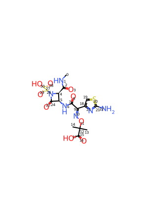 CNC(=O)[C@H]1[C@@H](NC(=O)/C(=N/OC(C)(C)C(=O)O)c2csc(N)n2)C(=O)N1S(=O)(=O)O